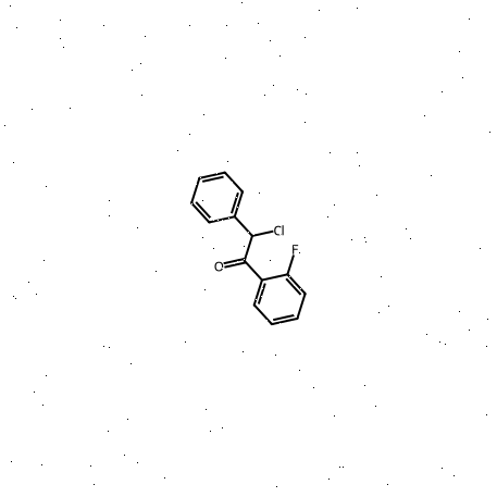 O=C(c1ccccc1F)C(Cl)c1ccccc1